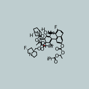 C#Cc1c(F)ccc2cc(OC(=O)OC(C)OC(=O)C(C)C)cc(-c3c(F)c(OC)c4c(N5C[C@H]6CC[C@@H](C5)N6C(=O)OC(C)OC(=O)C(C)C)nc(OC[C@@]56CCCN5C[C@H](F)C6)nc4c3F)c12